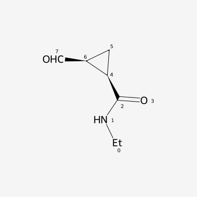 CCNC(=O)[C@@H]1C[C@@H]1C=O